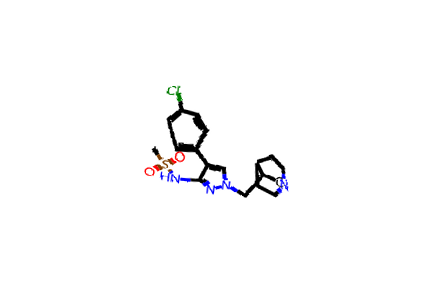 CS(=O)(=O)Nc1nn(CC2CN3CCC2CC3)cc1-c1ccc(Cl)cc1